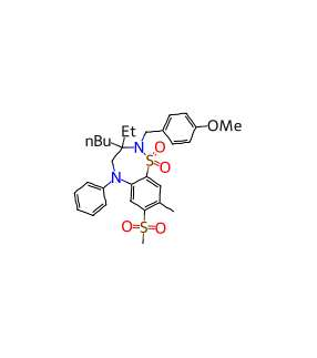 CCCCC1(CC)CN(c2ccccc2)c2cc(S(C)(=O)=O)c(C)cc2S(=O)(=O)N1Cc1ccc(OC)cc1